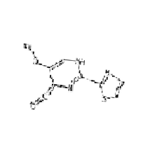 CCOC1=CNC(c2nccs2)=NC1=C=O